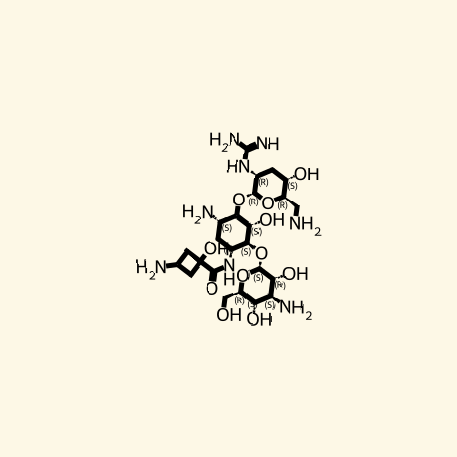 N=C(N)N[C@@H]1C[C@H](O)[C@@H](CN)O[C@@H]1OC1[C@@H](N)C[C@@H](NC(=O)C2(O)CC(N)C2)[C@H](O[C@H]2O[C@H](CO)[C@@H](O)[C@H](N)[C@H]2O)[C@H]1O